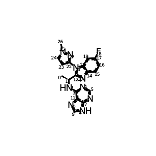 C[C@H](Nc1ncnc2[nH]cnc12)c1nc2ccc(F)cc2n1-c1ccn(C)n1